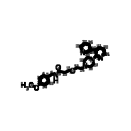 COc1ccc(CNC(=O)CCOCCN2CCN(c3ncccc3-c3cccnc3)CC2)cc1